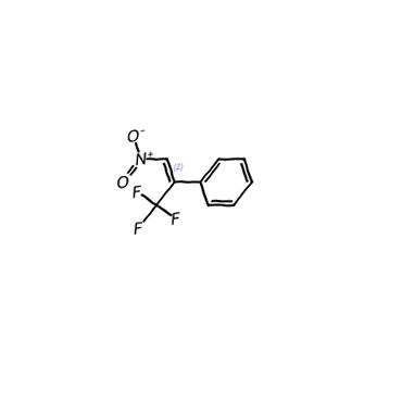 O=[N+]([O-])/C=C(/c1ccccc1)C(F)(F)F